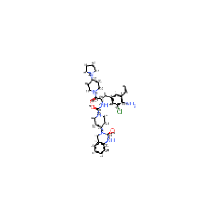 CCc1cc(C[C@@H](NC(=O)N2CCC(N3Cc4ccccc4NC3=O)CC2)C(=O)N2CCC(N3CCCC3)CC2)cc(Cl)c1N